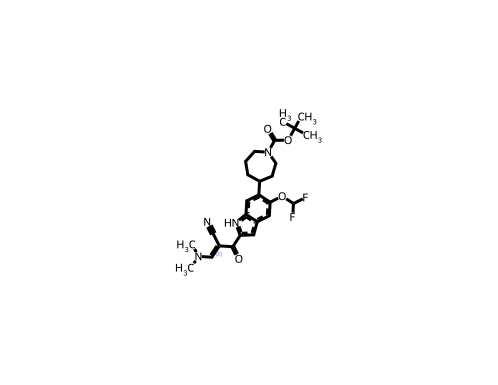 CN(C)/C=C(\C#N)C(=O)c1cc2cc(OC(F)F)c(C3CCCN(C(=O)OC(C)(C)C)CC3)cc2[nH]1